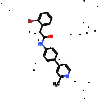 Cc1cc(-c2ccc(NC(=O)Cc3ccccc3Br)cc2)ccn1